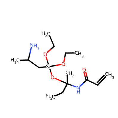 C=CC(=O)NC(C)(CC)O[Si](CC(C)N)(OCC)OCC